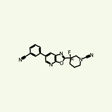 N#Cc1cccc(-c2cnc3oc([C@@]4(F)CCCN(C#N)C4)nc3c2)c1